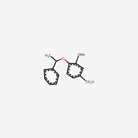 COc1cc(C(=O)O)ccc1OC(C)c1ccccc1